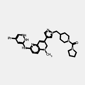 CC(C)C1=CNNC(Nc2ccc3c(n2)C=C(c2cnn(CC4CCN(C(=O)N5CCCC5)CC4)c2)CN3C)=C1